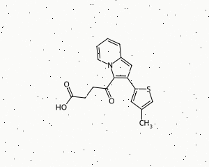 Cc1csc(-c2cc3ccccn3c2C(=O)CCC(=O)O)c1